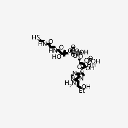 CCC(O)CCC1(N)N=CN=C2C1=NCN2[C@@H]1O[C@H](COP(=O)(O)OP(=O)(O)OCC(C)(C)[C@@H](O)C(=O)NCCC(=O)NCCS)[C@@H](OP(=O)(O)O)[C@H]1O